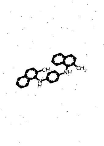 Cc1ccc2ccccc2c1Nc1ccc(Nc2c(C)ccc3ccccc23)cc1